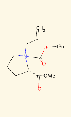 C=CC[N+]1(C(=O)OC(C)(C)C)CCC[C@H]1C(=O)OC